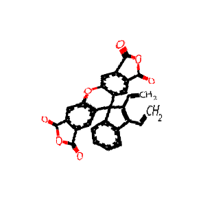 C=CC1=C(C=C)C2(c3cc4c(cc3Oc3cc5c(cc32)C(=O)OC5=O)C(=O)OC4=O)c2ccccc21